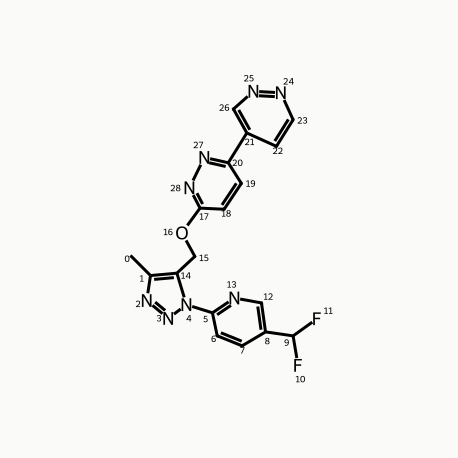 Cc1nnn(-c2ccc(C(F)F)cn2)c1COc1ccc(-c2ccnnc2)nn1